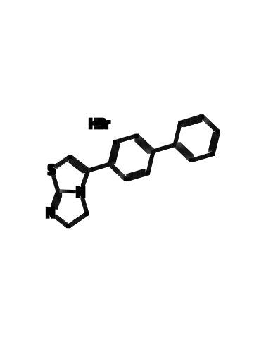 Br.C1=C(c2ccc(-c3ccccc3)cc2)N2CCN=C2S1